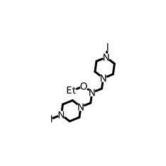 CCON(CN1CCN(I)CC1)CN1CCN(I)CC1